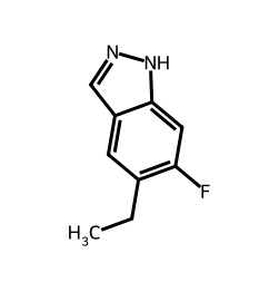 CCc1cc2cn[nH]c2cc1F